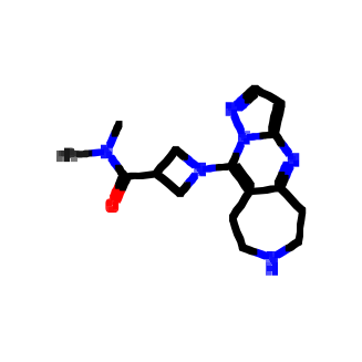 CCCN(C)C(=O)C1CN(c2c3c(nc4ccnn24)CCNCC3)C1